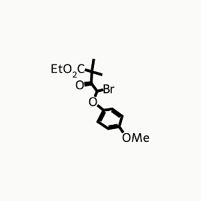 CCOC(=O)C(C)(C)C(=O)C(Br)Oc1ccc(OC)cc1